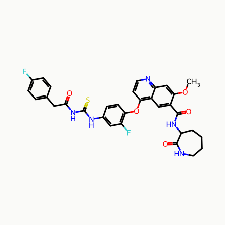 COc1cc2nccc(Oc3ccc(NC(=S)NC(=O)Cc4ccc(F)cc4)cc3F)c2cc1C(=O)NC1CCCCNC1=O